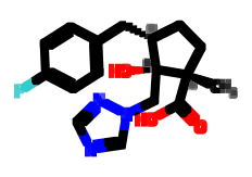 C[C@]1(C(=O)O)CC[C@@H](Cc2ccc(F)cc2)[C@]1(O)Cn1cncn1